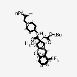 CCCC(F)CN1CCC(NC(=O)[C@@]2(CC(=O)OC(C)(C)C)CN(Cc3c(Cl)cccc3C(F)(F)F)C[C@@H]2C)CC1